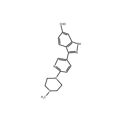 CN1CCN(c2ccc(-c3n[nH]c4cc(C=O)ccc34)cn2)CC1